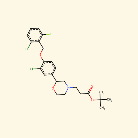 CC(C)(C)OC(=O)CCN1CCOC(c2ccc(OCc3c(F)cccc3Cl)c(Cl)c2)C1